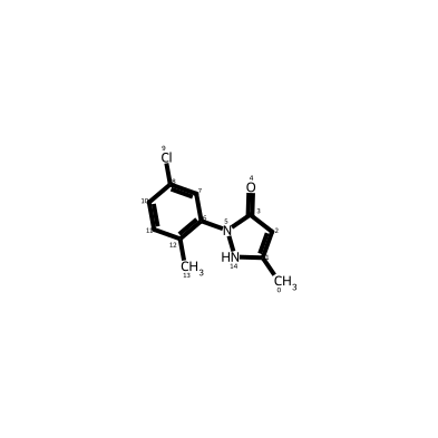 Cc1cc(=O)n(-c2cc(Cl)ccc2C)[nH]1